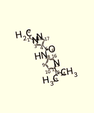 C=Cn1cc(C(=O)Nc2ccc(C(C)C)nc2)cn1